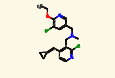 CN(Cc1cnc(OCC(F)(F)F)c(Cl)c1)Cc1c(C=C2CC2)ccnc1Cl